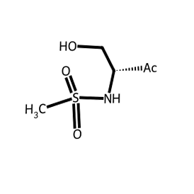 CC(=O)[C@@H](CO)NS(C)(=O)=O